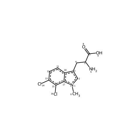 Cn1cc(CC(N)C(=O)O)c2ccc(Cl)c(Cl)c21